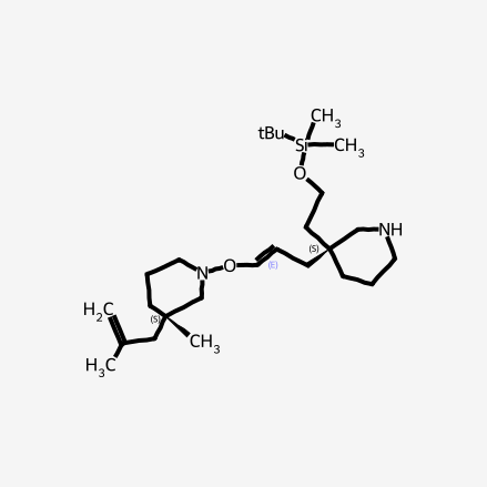 C=C(C)C[C@]1(C)CCCN(O/C=C/C[C@]2(CCO[Si](C)(C)C(C)(C)C)CCCNC2)C1